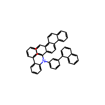 c1ccc(-c2ccccc2N(c2cccc(-c3cccc4ccccc34)c2)c2cccc3c2ccc2c4ccccc4ccc32)cc1